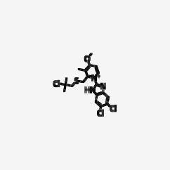 COc1cc[n+](-c2nc3cc(Cl)c(Cl)cc3[nH]2)c(CSCC(C)(C)Cl)c1C